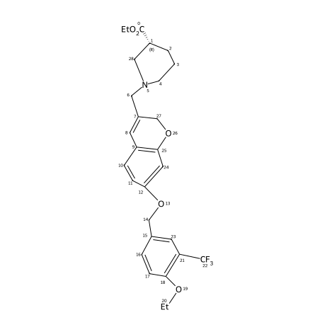 CCOC(=O)[C@@H]1CCCN(CC2=Cc3ccc(OCc4ccc(OCC)c(C(F)(F)F)c4)cc3OC2)C1